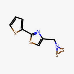 c1csc(-c2nc(Cn3ss3)cs2)c1